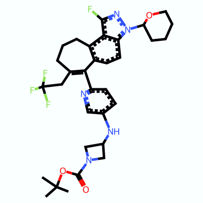 CC(C)(C)OC(=O)N1CC(Nc2ccc(C3=C(CC(F)(F)F)CCCc4c3ccc3c4c(F)nn3C3CCCCO3)nc2)C1